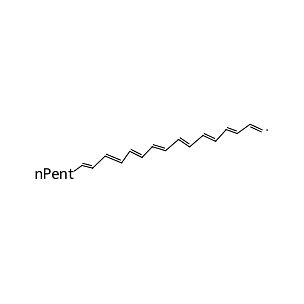 [CH]=CC=CC=CC=CC=CC=CC=CC=CCCCCC